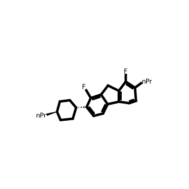 CCCc1ccc2c(c1F)Cc1c-2ccc([C@H]2CC[C@H](CCC)CC2)c1F